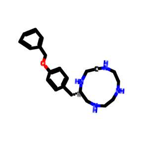 c1ccc(COc2ccc(C[C@H]3CNCCNCCNCCN3)cc2)cc1